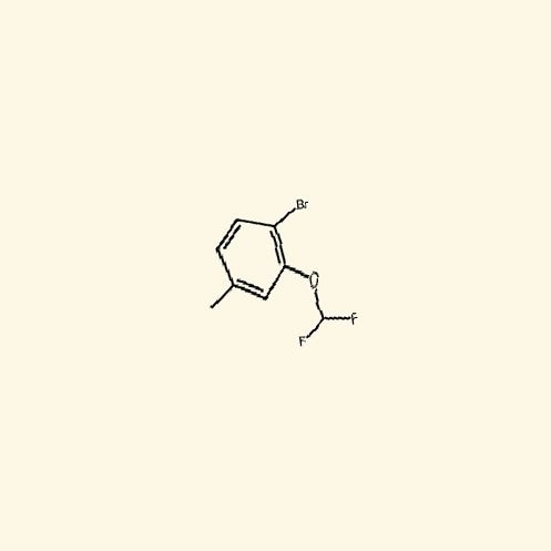 Cc1ccc(Br)c(OC(F)F)c1